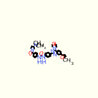 Cc1ccc(-c2ccc3c(N4CCOCC4)nc(-c4ccc(NC(=O)Nc5ccc(C(=O)N6CC[C@H](N(C)C)C6)cc5)cc4)nc3c2)o1